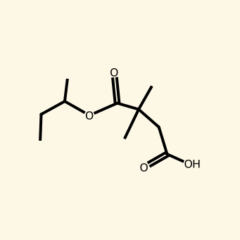 CCC(C)OC(=O)C(C)(C)CC(=O)O